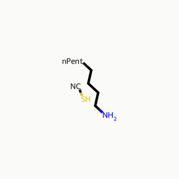 CCCCCCCCCN.N#CS